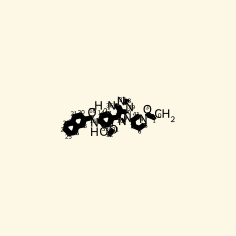 C=CC(=O)N1CCC[C@@H](n2nc(-c3ccc(NC(=O)c4ccc5ccccc5c4)c4c3OCO4)c3c(N)ncnc32)C1